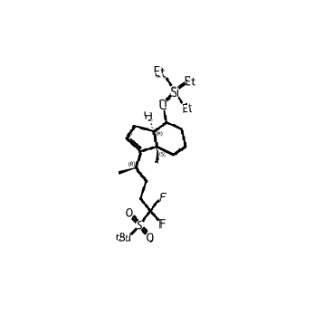 CC[Si](CC)(CC)OC1CCC[C@]2(C)C([C@H](C)CCC(F)(F)S(=O)(=O)C(C)(C)C)=CC[C@@H]12